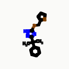 CC(C)(c1ccccc1)c1n[nH]c(SCc2cccs2)n1